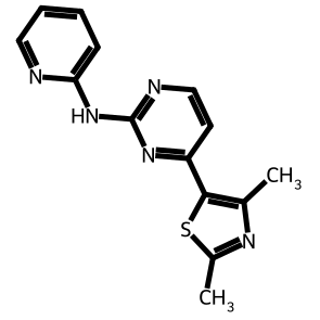 Cc1nc(C)c(-c2ccnc(Nc3ccccn3)n2)s1